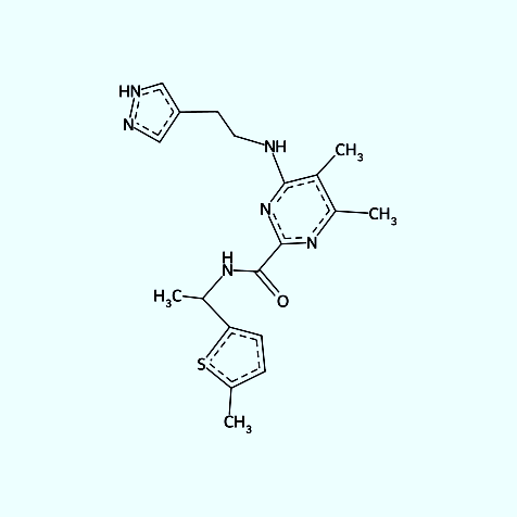 Cc1ccc(C(C)NC(=O)c2nc(C)c(C)c(NCCc3cn[nH]c3)n2)s1